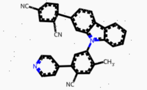 Cc1cc(C#N)c(-c2ccncc2)cc1-n1c2ccccc2c2ccc(-c3ccc(C#N)cc3C#N)cc21